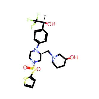 C[C@](O)(c1ccc(N2CCN(S(=O)(=O)c3cccs3)C[C@@H]2CN2CCCC(O)C2)cc1)C(F)(F)F